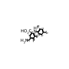 NCc1cc(C(=O)O)c(Nc2ccc(I)cc2F)c(F)c1F